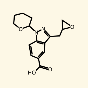 O=C(O)c1ccc2c(c1)c(CC1CO1)nn2C1CCCCO1